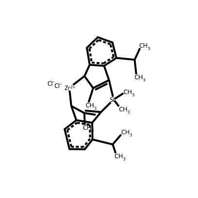 CC1=C2c3c(C(C)C)cccc3[CH]1[Zr+2][CH]1C(C)=C(c3c(C(C)C)cccc31)[Si]2(C)C.[Cl-].[Cl-]